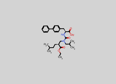 CCOC(=O)[C@@H](CCC(C)C)CN(CC(C)C)C(=O)N[C@@H](Cc1ccc(-c2ccccc2)cc1)C(=O)O